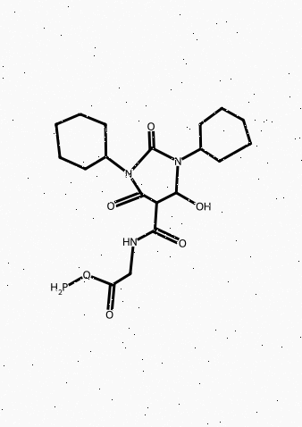 O=C(CNC(=O)C1C(=O)N(C2CCCCC2)C(=O)N(C2CCCCC2)C1O)OP